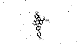 CC(=O)Nc1ccc(O)cc1Nc1cc(Nc2ccc(N3CCN(C)CC3)cn2)ncc1C(N)=O